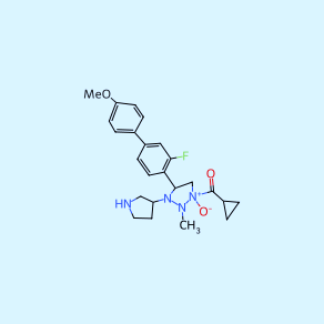 COc1ccc(-c2ccc(C3C[N+]([O-])(C(=O)C4CC4)N(C)N3C3CCNC3)c(F)c2)cc1